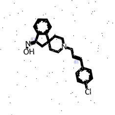 O/N=C1\CC2(CCN(C/C=C/c3ccc(Cl)cc3)CC2)c2ccccc21